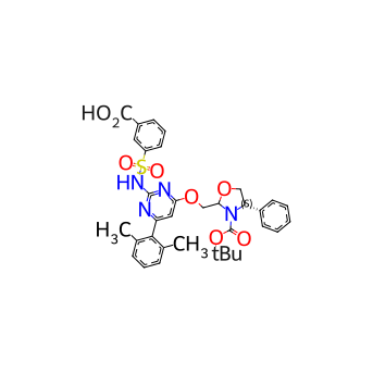 Cc1cccc(C)c1-c1cc(OCC2OC[C@H](c3ccccc3)N2C(=O)OC(C)(C)C)nc(NS(=O)(=O)c2cccc(C(=O)O)c2)n1